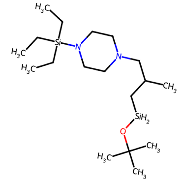 CC[Si](CC)(CC)N1CCN(CC(C)C[SiH2]OC(C)(C)C)CC1